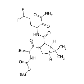 CC(C)(C)OC(=O)N[C@H](C(=O)N1C[C@H]2[C@@H]([C@H]1C(=O)NC(CCC(F)F)C(=O)C(N)=O)C2(C)C)C(C)(C)C